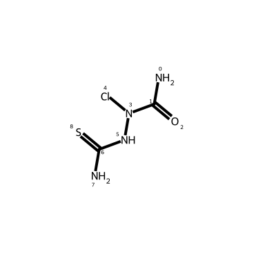 NC(=O)N(Cl)NC(N)=S